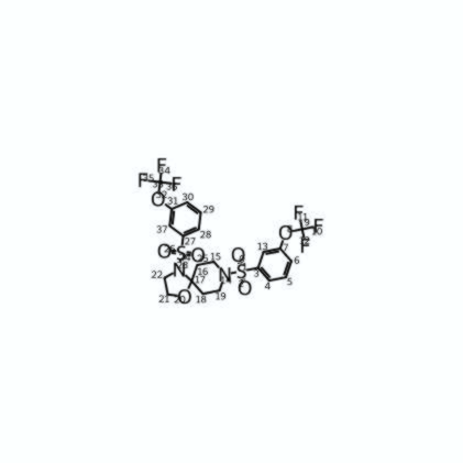 O=S(=O)(c1cccc(OC(F)(F)F)c1)N1CCC2(CC1)OCCN2S(=O)(=O)c1cccc(OC(F)(F)F)c1